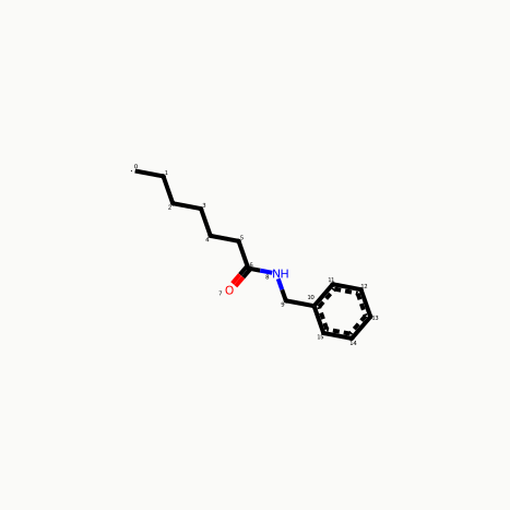 [CH2]CCCCCC(=O)NCc1ccccc1